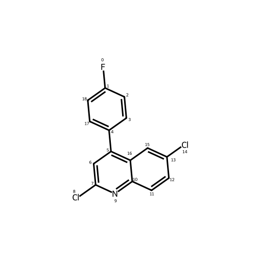 Fc1ccc(-c2cc(Cl)nc3ccc(Cl)cc23)cc1